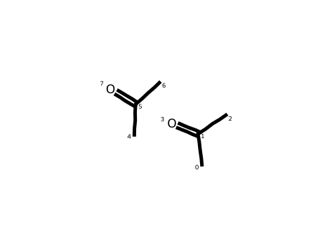 CC(C)=O.CC(C)=O